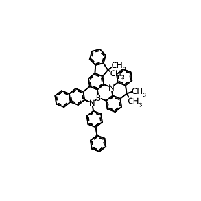 CC1(C)c2ccccc2N2c3c(cccc31)B1c3c(cc4c(c32)C(C)(C)c2ccccc2-4)-c2cc3ccccc3cc2N1c1ccc(-c2ccccc2)cc1